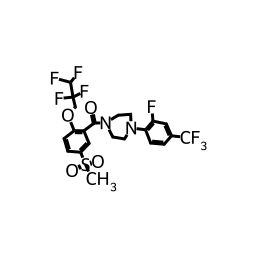 CS(=O)(=O)c1ccc(OCC(F)(F)C(F)F)c(C(=O)N2CCN(c3ccc(C(F)(F)F)cc3F)CC2)c1